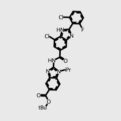 CC(C)n1c(NC(=O)c2cc(Cl)c3[nH]c(-c4c(F)cccc4Cl)nc3c2)nc2cc(C(=O)OC(C)(C)C)ccc21